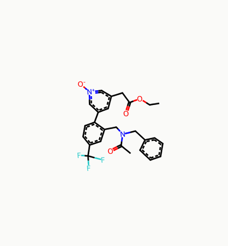 CCOC(=O)Cc1cc(-c2ccc(C(F)(F)F)cc2CN(Cc2ccccc2)C(C)=O)c[n+]([O-])c1